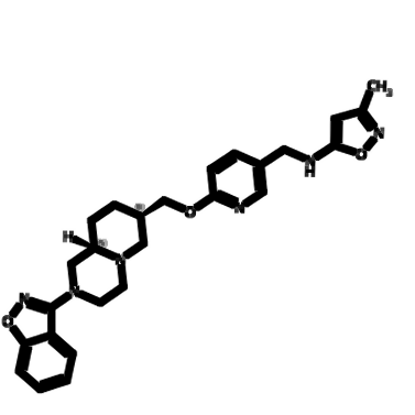 Cc1cc(NCc2ccc(OC[C@@H]3CC[C@H]4CN(c5noc6ccccc56)CCN4C3)nc2)on1